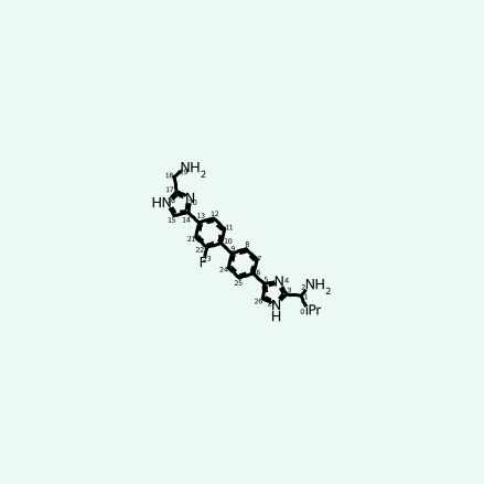 CC(C)C(N)c1nc(-c2ccc(-c3ccc(-c4c[nH]c(CN)n4)cc3F)cc2)c[nH]1